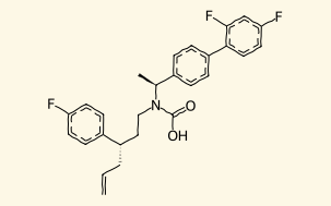 C=CC[C@@H](CCN(C(=O)O)[C@@H](C)c1ccc(-c2ccc(F)cc2F)cc1)c1ccc(F)cc1